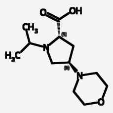 CC(C)N1C[C@H](N2CCOCC2)C[C@H]1C(=O)O